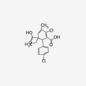 CCC1(C(=O)O)C=C(C)C(Cl)=C(C(=O)O)C1c1ccc(Cl)cc1